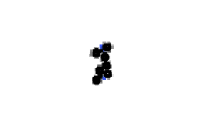 c1ccc(-c2nc3ccccc3c3c(-c4cccc(-c5ccc(-n6c(-c7ccccc7)nc7ccccc76)cc5)c4)cccc23)cc1